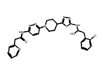 O=C(Cc1ccccn1)Nc1ccc(N2CCC(c3nnc(NC(O)Cc4ccccc4Cl)s3)CC2)nn1